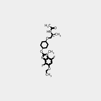 CCOc1cc(F)c2c(nc(O[C@H]3CC[C@H](OC[C@H](C)NC(C)=O)CC3)n2C)c1F